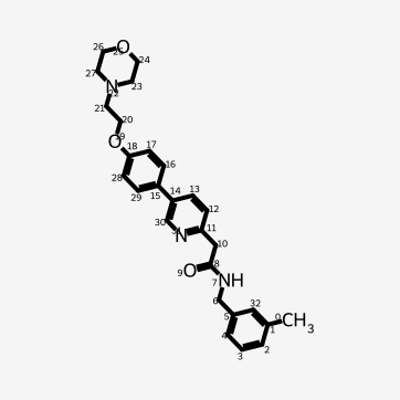 Cc1cccc(CNC(=O)Cc2ccc(-c3ccc(OCCN4CCOCC4)cc3)cn2)c1